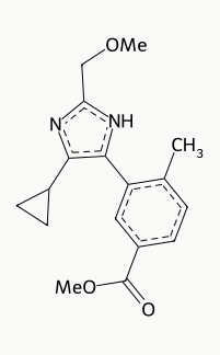 COCc1nc(C2CC2)c(-c2cc(C(=O)OC)ccc2C)[nH]1